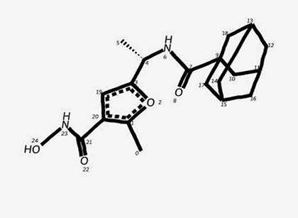 Cc1oc([C@H](C)NC(=O)C23CC4CC(CC(C4)C2)C3)cc1C(=O)NO